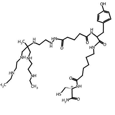 CCNCCNCC(C)(CNCCNCC)NCCNNC(=O)CCCC(=O)NC(Cc1ccc(O)cc1)C(=O)NCCCCCC(=O)N[C@@H](CS)C(N)=O